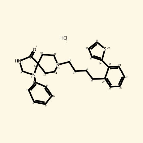 Cl.O=C1NCN(c2ccccc2)C12CCN(CCCCc1ccccc1-c1cccs1)CC2